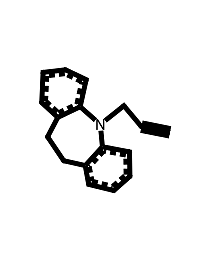 C#CCN1c2ccccc2CCc2ccccc21